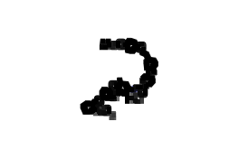 COc1ccc(OCCc2ccc(CN3CCN(C(=O)/C=C/c4cc(C)c(Oc5ccc(OCc6ccccc6[N+](=O)[O-])cn5)c(Cl)c4)CC3)cc2)cc1.Cl